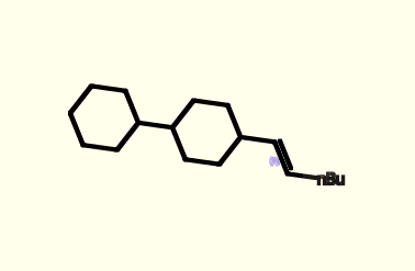 CCCC/C=C/C1CCC(C2CCCCC2)CC1